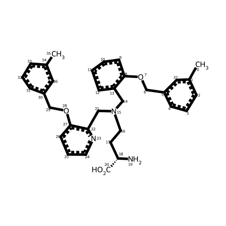 Cc1cccc(COc2ccccc2CN(CC[C@H](N)C(=O)O)Cc2ncccc2OCc2cccc(C)c2)c1